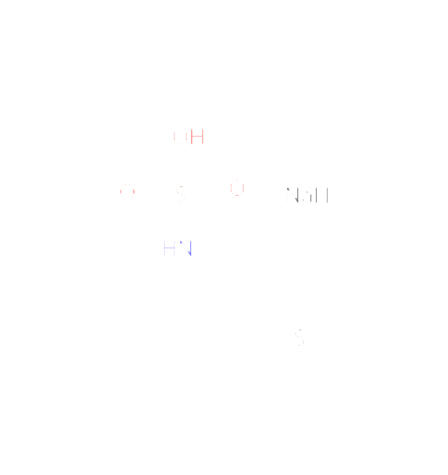 O=S(=O)(O)NC1CSC1.[NaH]